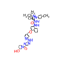 Cc1ccc(-n2nc(C(C)(C)C)cc2NC(=O)Nc2ccc(OCc3ccnc(Nc4cnc(C(=O)N5CCCC(O)C5)cn4)c3)c3ccccc23)cc1